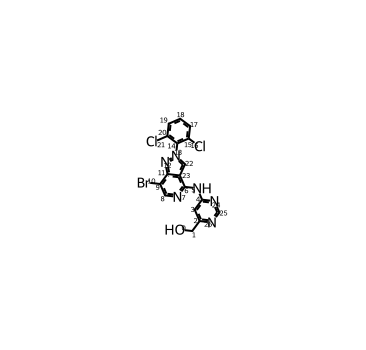 OCc1cc(Nc2ncc(Br)c3nn(-c4c(Cl)cccc4Cl)cc23)ncn1